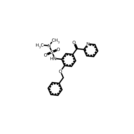 CN(C)S(=O)(=O)Nc1cc(C(=O)c2ccccn2)ccc1OCc1ccccc1